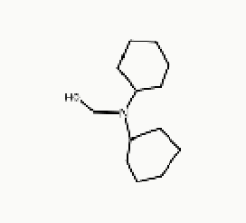 OCN(C1CCCCC1)C1CCCCC1